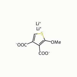 COc1scc(C(=O)[O-])c1C(=O)[O-].[Li+].[Li+]